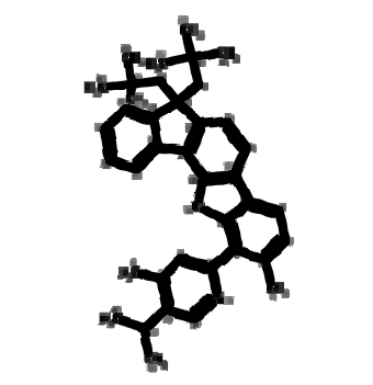 Cc1cc(-c2c(C)ccc3c2oc2c4c(ccc23)C(CC(C)(C)C)(CC(C)(C)C)c2ccccc2-4)ncc1C(C)C